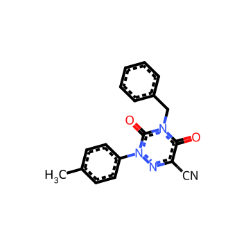 Cc1ccc(-n2nc(C#N)c(=O)n(Cc3ccccc3)c2=O)cc1